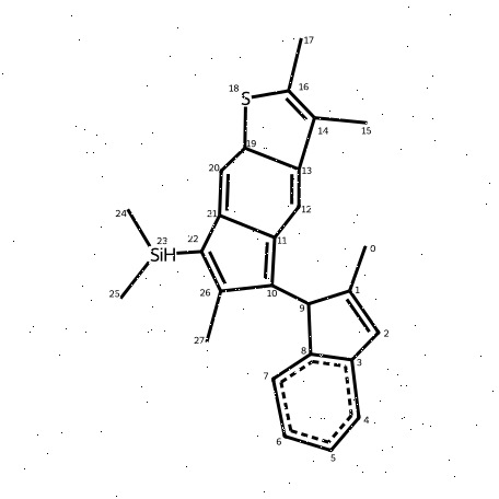 CC1=Cc2ccccc2C1C1=C2C=C3C(C)=C(C)SC3C=C2C([SiH](C)C)=C1C